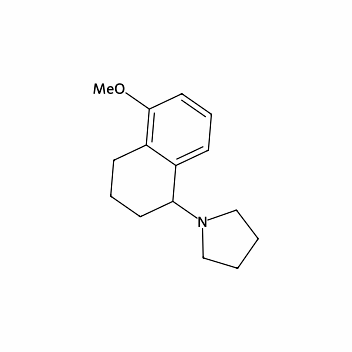 COc1cccc2c1CCCC2N1CCCC1